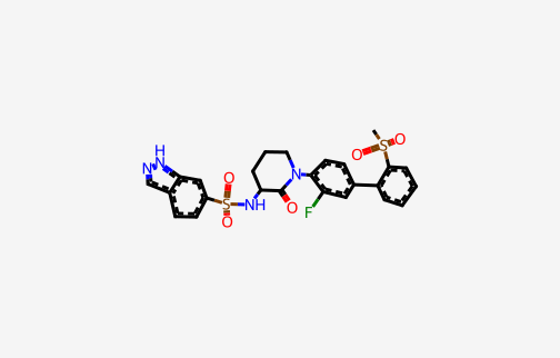 CS(=O)(=O)c1ccccc1-c1ccc(N2CCCC(NS(=O)(=O)c3ccc4cn[nH]c4c3)C2=O)c(F)c1